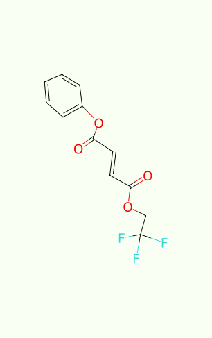 O=C(C=CC(=O)Oc1ccccc1)OCC(F)(F)F